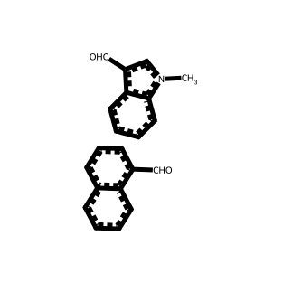 Cn1cc(C=O)c2ccccc21.O=Cc1cccc2ccccc12